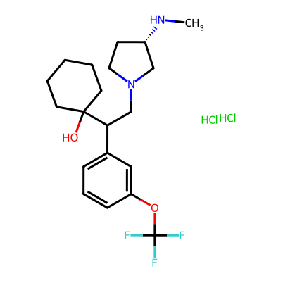 CN[C@H]1CCN(CC(c2cccc(OC(F)(F)F)c2)C2(O)CCCCC2)C1.Cl.Cl